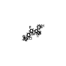 C[C@@H]1CN(c2cc(-c3cc(F)cc(-c4ccc(-n5ccn(C)c5=O)c(Cl)c4)c3O)cc3c2nnn3C)CCN1